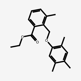 CCOC(=O)c1cccc(C)c1COc1cc(C)c(C)cc1C